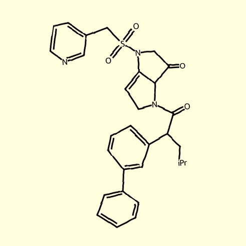 CC(C)CC(C(=O)N1CC=C2C1C(=O)CN2S(=O)(=O)Cc1cccnc1)c1cccc(-c2ccccc2)c1